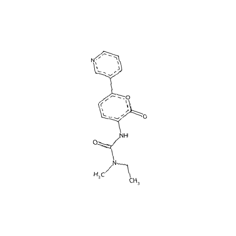 CCN(C)C(=O)Nc1ccc(-c2cccnc2)oc1=O